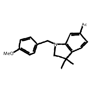 COc1ccc(CN2CC(C)(C)c3ccc(C(C)=O)cc32)cc1